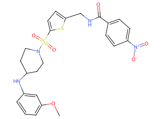 COc1cccc(NC2CCN(S(=O)(=O)c3ccc(CNC(=O)c4ccc([N+](=O)[O-])cc4)s3)CC2)c1